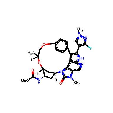 COC(=O)N[C@H]1C[C@H]2C[C@H]1O[C@H](C)COc1ccc(cc1)-c1c(-c3cn(C)nc3F)[nH]c3ncc4c(c13)n2c(=O)n4C